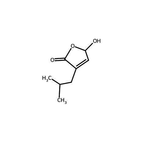 CC(C)CC1=CC(O)OC1=O